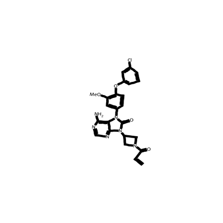 C=CC(=O)N1CC(n2c(=O)n(-c3ccc(Oc4cccc(Cl)c4)c(OC)c3)c3c(N)ncnc32)C1